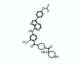 Cc1cc(Nc2nccn3c(-c4ccc(OC(F)F)cc4)cnc23)ccc1C(=O)N1CCN(C(=O)C2(O)CCNCC2)CC1